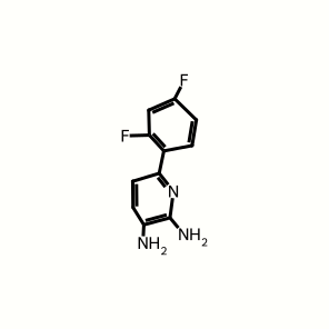 Nc1ccc(-c2ccc(F)cc2F)nc1N